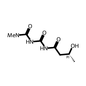 CNC(=O)NC(=O)NC(=O)C[C@@H](C)O